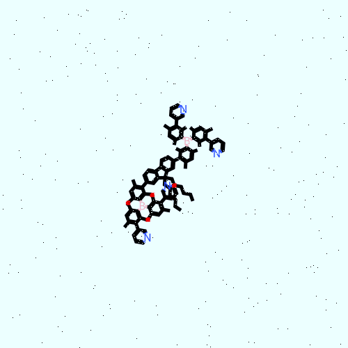 CCCCCCC1(CCCCCC)c2cc(-c3c(C)cc(C)c(B(c4c(C)cc(C)c(-c5cccnc5)c4C)c4c(C)cc(C)c(-c5cccnc5)c4C)c3C)ccc2-c2ccc(-c3c(C)cc(C)c(B(c4c(C)cc(C)c(-c5cccnc5)c4C)c4c(C)cc(C)c(-c5cccnc5)c4C)c3C)cc21